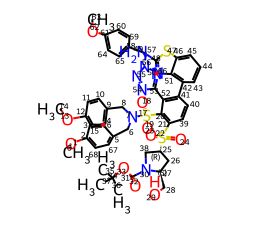 COc1ccc(CN(Cc2ccc(OC)cc2)S(=O)(=O)c2c(S(=O)(=O)[C@@H]3C[C@@H](CO)N(C(=O)OC(C)(C)C)C3)ccc(-c3cccc4sc(N)nc34)c2-c2nnn(Cc3ccc(OC)cc3)n2)cc1